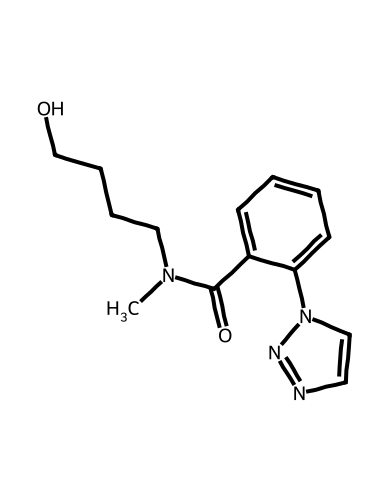 CN(CCCCO)C(=O)c1ccccc1-n1ccnn1